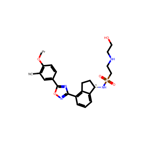 CC(C)Oc1ccc(-c2nc(-c3cccc4c3CC[C@@H]4NS(=O)(=O)CCNCCO)no2)cc1C#N